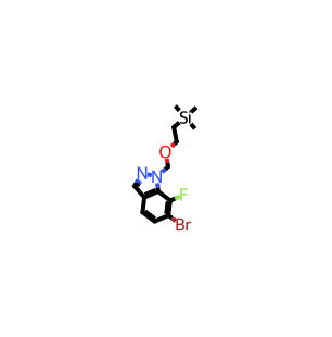 C[Si](C)(C)CCOCn1ncc2ccc(Br)c(F)c21